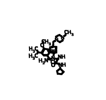 CCN1CCN(Cc2ccc(N(C(=N)C(=O)NC3CCCC3)C(C)(N)c3cc(C(C)C)c(OC)cc3O)cc2)CC1